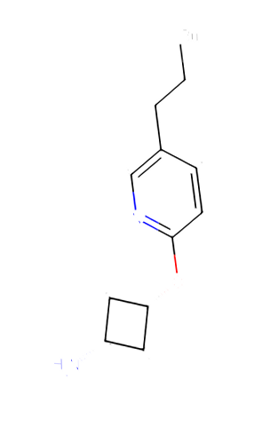 CC(C)(C)CCc1ccc(O[C@H]2C[C@@H](N)C2)nc1